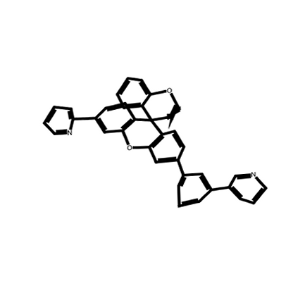 c1ccc(-c2ccc3c(c2)Oc2cc(-c4cccc(-c5cccnc5)c4)ccc2C32c3ccccc3Oc3ccccc32)nc1